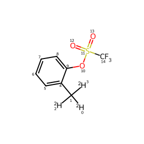 [2H]C([2H])([2H])c1ccccc1OS(=O)(=O)C(F)(F)F